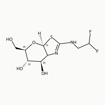 OC[C@H]1O[C@H]2SC(NCC(F)F)=NC2[C@@H](O)[C@@H]1O